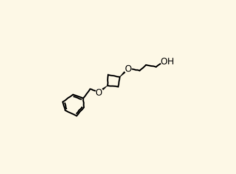 OCCCO[C@H]1C[C@@H](OCc2ccccc2)C1